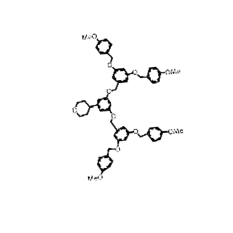 COc1ccc(COc2cc(COc3cc(OCc4cc(OCc5ccc(OC)cc5)cc(OCc5ccc(OC)cc5)c4)cc(C4CCOCC4)c3)cc(OCc3ccc(OC)cc3)c2)cc1